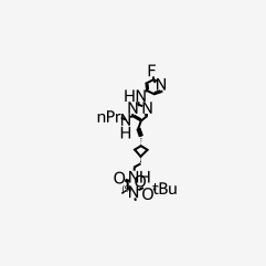 CCCNc1nc(Nc2ccnc(F)c2)ncc1C#C[C@H]1C[C@@H](CCNC(=O)[C@H](C)N(C)C(=O)OC(C)(C)C)C1